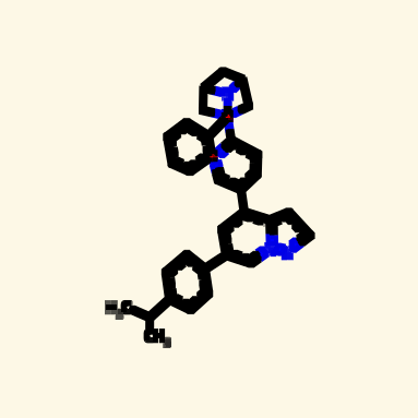 CC(C)c1ccc(-c2cc(-c3ccc(N4CC5CC(C4)N5Cc4ccccc4)nc3)c3ccnn3c2)cc1